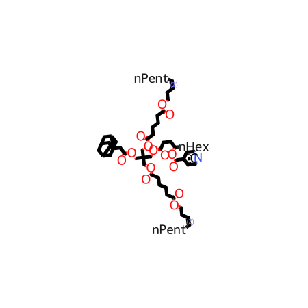 CCCCC/C=C\CCOC(=O)CCCCC(=O)OCC(COC(=O)CCCCC(=O)OCC/C=C\CCCCC)(COC(=O)CCC(CCCCCC)OC(=O)C12CCN(CC1)CC2)COC(=O)CC12CC3CC(CC(C3)C1)C2